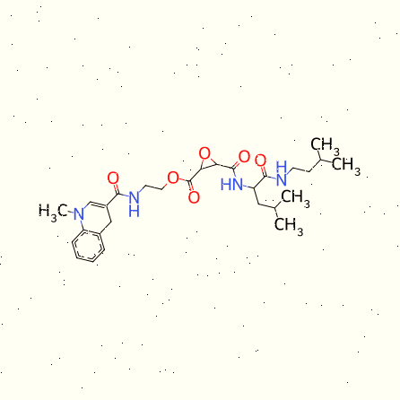 CC(C)CCNC(=O)C(CC(C)C)NC(=O)C1OC1C(=O)OCCNC(=O)C1=CN(C)c2ccccc2C1